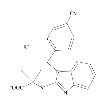 CC(C)(Sc1nc2ccccc2n1Cc1ccc(C#N)cc1)C(=O)[O-].[K+]